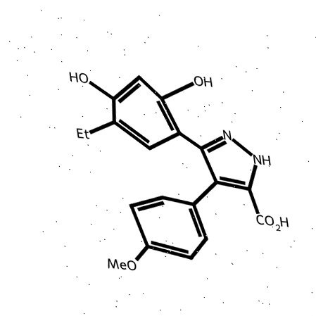 CCc1cc(-c2n[nH]c(C(=O)O)c2-c2ccc(OC)cc2)c(O)cc1O